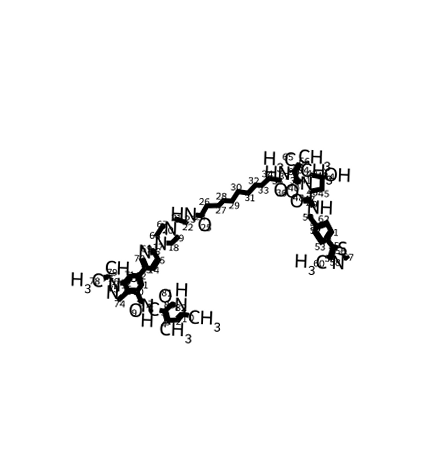 Cc1cc(C)c(CNC(=O)c2cc(-c3ccc(N4CCN(CCNC(=O)CCCCCCCCCC(=O)N[C@H](C(=O)N5C[C@H](O)C[C@H]5C(=O)NCc5ccc(-c6scnc6C)cc5)C(C)(C)C)CC4)nc3)cc3c2cnn3C(C)C)c(=O)[nH]1